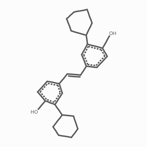 Oc1ccc(C=Cc2ccc(O)c(C3CCCCC3)c2)cc1C1CCCCC1